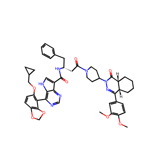 COc1ccc(C2=NN(C3CCN(C(=O)C[C@@H](Cc4ccccc4)NC(=O)c4c[nH]c5c(-c6c(OCC7CC7)ccc7c6OCO7)ncnc45)CC3)C(=O)[C@@H]3CCCC[C@H]23)cc1OC